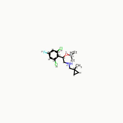 CC[SiH](CC)OC(CNCC1(C)CC1)c1c(Cl)cc(F)cc1Cl